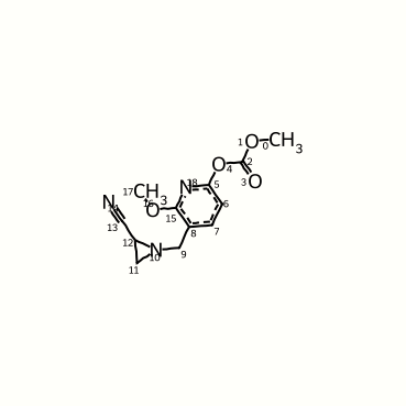 COC(=O)Oc1ccc(CN2CC2C#N)c(OC)n1